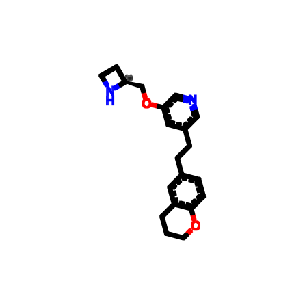 c1cc2c(cc1CCc1cncc(OC[C@@H]3CCN3)c1)CCCO2